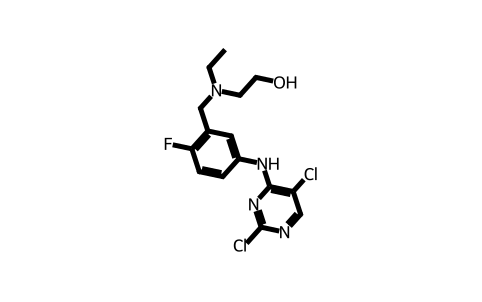 CCN(CCO)Cc1cc(Nc2nc(Cl)ncc2Cl)ccc1F